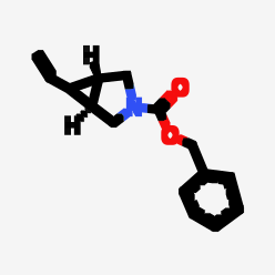 C=CC1[C@@H]2CN(C(=O)OCc3ccccc3)C[C@@H]12